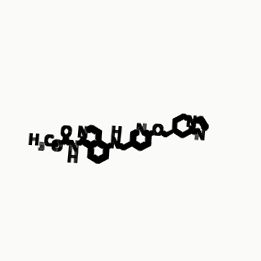 COC(=O)Nc1nccc2c(NCc3ccc(OC[C@H]4CCn5ccnc5C4)nc3)cccc12